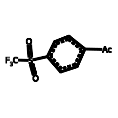 CC(=O)c1ccc(S(=O)(=O)C(F)(F)F)cc1